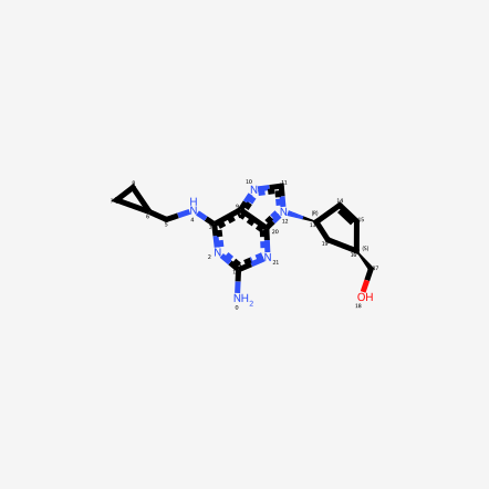 Nc1nc(NCC2CC2)c2ncn([C@H]3C=C[C@@H](CO)C3)c2n1